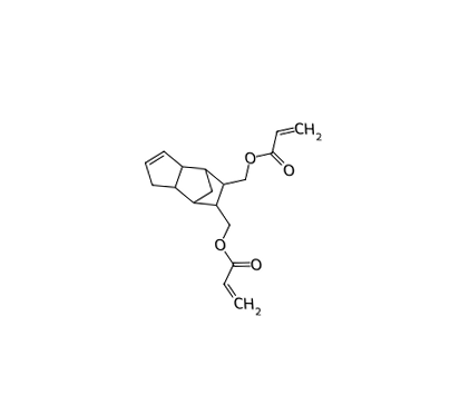 C=CC(=O)OCC1C2CC(C3CC=CC23)C1COC(=O)C=C